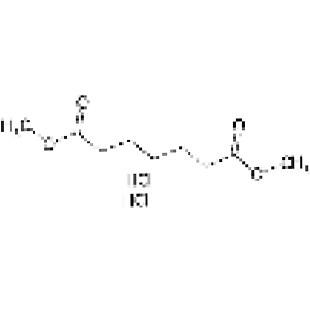 COC(=O)CCCCCC(=O)OC.Cl.Cl